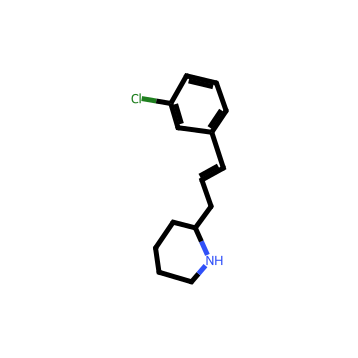 Clc1cccc(/C=C/CC2CCCCN2)c1